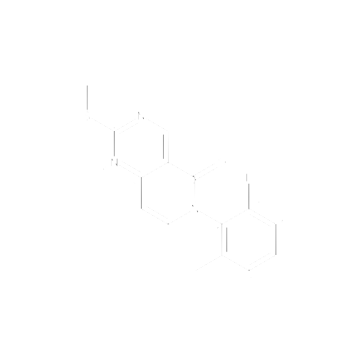 CSc1ncc2c(=O)n(-c3c(C)cccc3F)ccc2n1